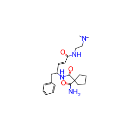 CN(C)CCNC(=O)C=CC(Cc1ccccc1)NC(=O)C1(C(N)=O)CCCC1